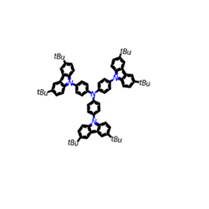 CC(C)(C)c1ccc2c(c1)c1cc(C(C)(C)C)ccc1n2-c1ccc(N(c2ccc(-n3c4ccc(C(C)(C)C)cc4c4cc(C(C)(C)C)ccc43)cc2)c2ccc(-n3c4ccc(C(C)(C)C)cc4c4cc(C(C)(C)C)ccc43)cc2)cc1